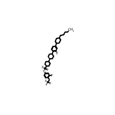 CCCCCC1CCC(c2ccc(C3CCC(C4CCC(C(F)(F)Oc5ccc(CC(F)(F)F)c(F)c5)CC4)CC3)c(F)c2)CC1